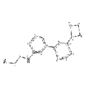 CC(C)CCNc1cccc(-c2cccc(C3CCO3)c2)c1